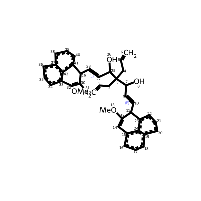 C=CCC(CC=C)(C(O)/C=C/C1C(OC)=Cc2cccc3cccc1c23)C(O)/C=C/C1C(OC)=Cc2cccc3cccc1c23